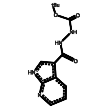 CC(C)(C)OC(=O)NNC(=O)c1c[nH]c2ncccc12